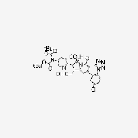 CC(C)(C)OC(=O)N(C(=O)OC(C)(C)C)c1ccc(C2C(CC=O)c3cc(-c4cc(Cl)ccc4-n4cnnn4)cc(=O)n3[C@@H]2C(=O)O)nc1